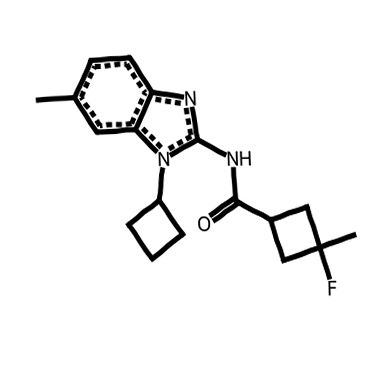 Cc1ccc2nc(NC(=O)C3CC(C)(F)C3)n(C3CCC3)c2c1